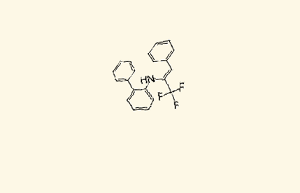 FC(F)(F)C(=Cc1ccccc1)Nc1ccccc1-c1ccccc1